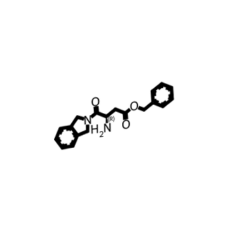 N[C@H](CC(=O)OCc1ccccc1)C(=O)N1Cc2ccccc2C1